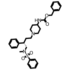 CN(C[C@@H](CCN1CCC(NC(=O)OCc2ccccc2)CC1)c1ccccc1)S(=O)(=O)c1ccccc1